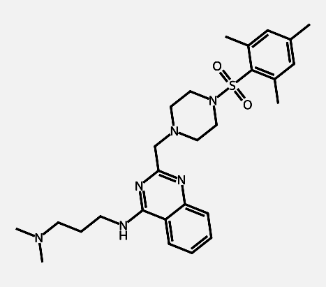 Cc1cc(C)c(S(=O)(=O)N2CCN(Cc3nc(NCCCN(C)C)c4ccccc4n3)CC2)c(C)c1